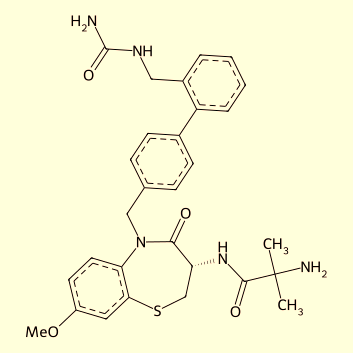 COc1ccc2c(c1)SC[C@@H](NC(=O)C(C)(C)N)C(=O)N2Cc1ccc(-c2ccccc2CNC(N)=O)cc1